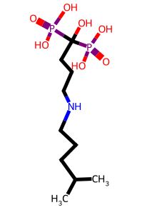 CC(C)CCCNCCCC(O)(P(=O)(O)O)P(=O)(O)O